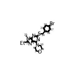 CCc1nc2c(N3CCOCC3)nc(SCc3ccc(Br)cc3)nc2n1C